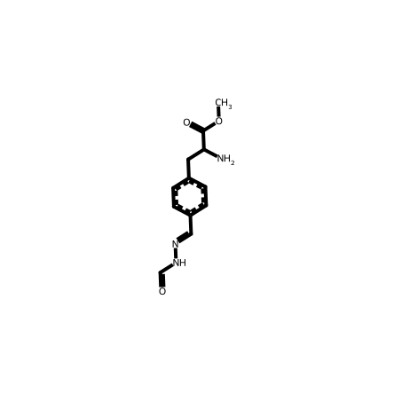 COC(=O)C(N)Cc1ccc(/C=N/NC=O)cc1